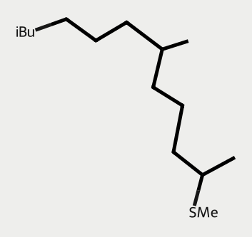 [CH2]CC(C)CCCC(C)CCCC(C)SC